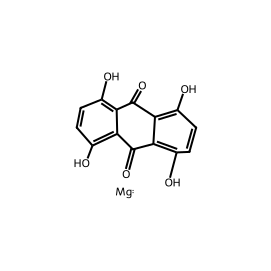 O=C1c2c(O)ccc(O)c2C(=O)c2c(O)ccc(O)c21.[Mg]